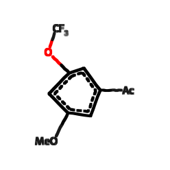 COc1cc(OC(F)(F)F)cc(C(C)=O)c1